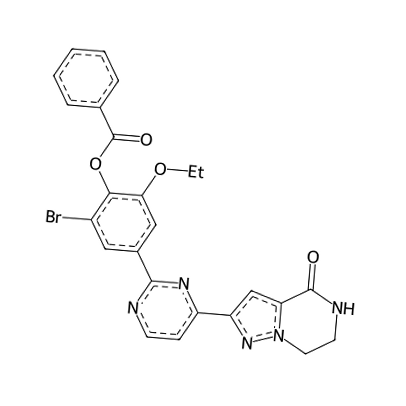 CCOc1cc(-c2nccc(-c3cc4n(n3)CCNC4=O)n2)cc(Br)c1OC(=O)c1ccccc1